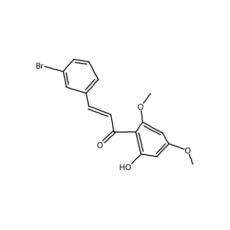 COc1cc(O)c(C(=O)C=Cc2cccc(Br)c2)c(OC)c1